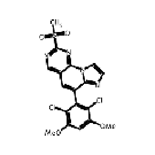 COc1cc(OC)c(Cl)c(-c2cc3cnc(S(C)(=O)=O)nc3n3ccnc23)c1Cl